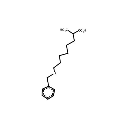 O=C(O)C(CCCCCCOCc1ccccc1)C(=O)O